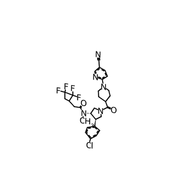 CN(C(=O)CC1CC(F)(F)C1(F)F)[C@@H]1CN(C(=O)C2CCN(c3ccc(C#N)cn3)CC2)C[C@H]1c1ccc(Cl)cc1